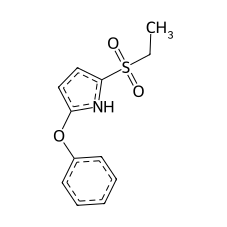 CCS(=O)(=O)c1ccc(Oc2ccccc2)[nH]1